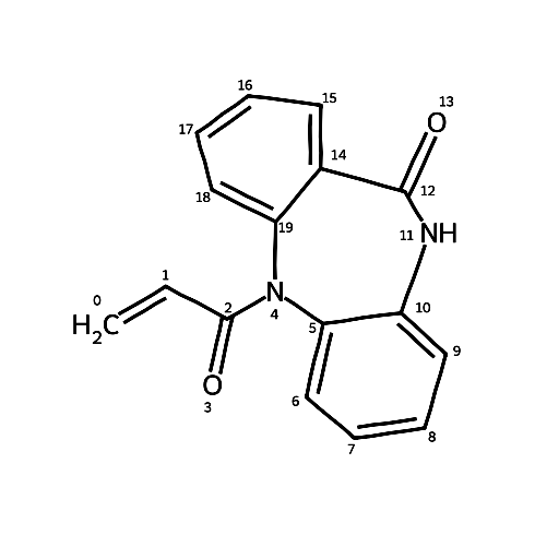 C=CC(=O)N1c2ccccc2NC(=O)c2ccccc21